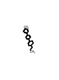 CCCC1CC=C(c2ccc(-c3ccc(C)cc3)cc2)CC1